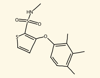 CNS(=O)(=O)c1sccc1Oc1ccc(C)c(C)c1C